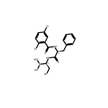 CC(C)C[C@H](NC(=O)[C@H](Cc1ccccc1)NC(=O)c1cc(Cl)ccc1Cl)B(O)O